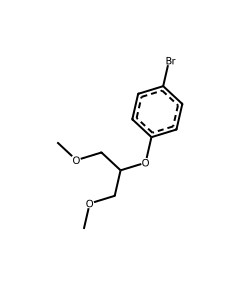 COCC(COC)Oc1ccc(Br)cc1